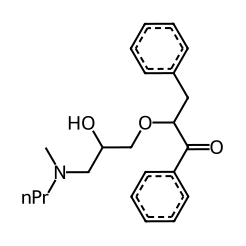 CCCN(C)CC(O)COC(Cc1ccccc1)C(=O)c1ccccc1